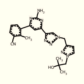 Cc1c(C#N)cccc1-c1cc(-c2cn(Cc3ccn(CC(C)(C)O)n3)nn2)nc(N)n1